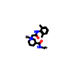 CCCNC(=O)C1CCC[N+](CC)(CC(=O)Nc2c(C)cccc2C)C1